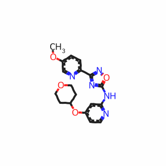 COc1ccc(-c2noc(Nc3cc(OC4CCOCC4)ccn3)n2)nc1